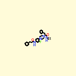 CCNC(=O)C(Cc1ccccc1)N1CCN(c2ccc(NC(=O)CCc3ccccc3)cc2F)CC1